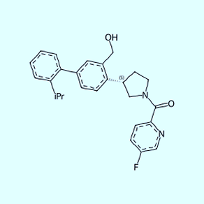 CC(C)c1ccccc1-c1ccc([C@@H]2CCN(C(=O)c3ccc(F)cn3)C2)c(CO)c1